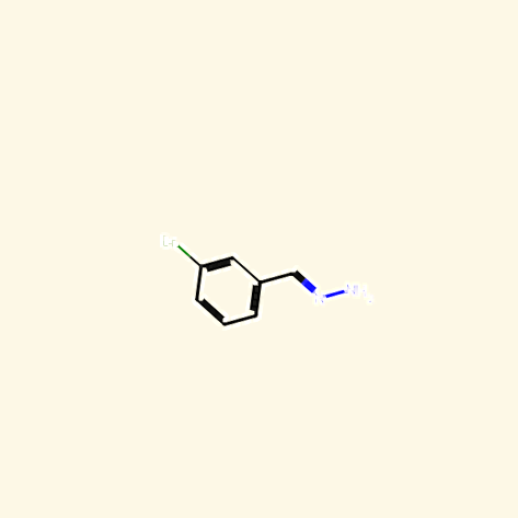 NN=Cc1cccc(Br)c1